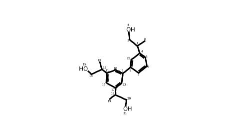 CC(CO)c1cccc(-c2cc(C(C)CO)cc(C(C)CO)c2)c1